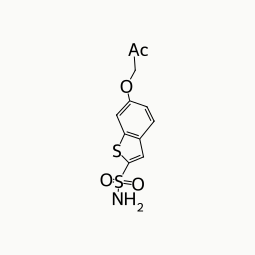 CC(=O)COc1ccc2cc(S(N)(=O)=O)sc2c1